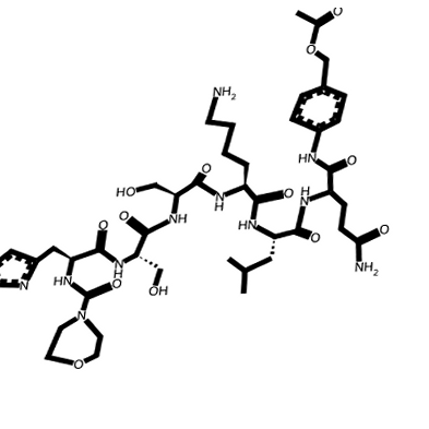 CC(=O)OCc1ccc(NC(=O)C(CCC(N)=O)NC(=O)[C@H](CC(C)C)NC(=O)[C@H](CCCCN)NC(=O)[C@H](CO)NC(=O)[C@H](CO)NC(=O)[C@H](Cc2c[nH]cn2)NC(=O)N2CCOCC2)cc1